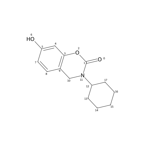 O=C1Oc2cc(O)ccc2CN1C1CCCCC1